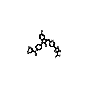 O=C(c1cncnc1)N1CCC(n2c(=O)n(Cc3ccc(-c4nnc(C(F)F)o4)cn3)c3cc(F)ccc32)CC1